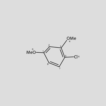 COc1[c]c(OC)c(Cl)cc1